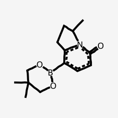 CC1CCc2c(B3OCC(C)(C)CO3)ccc(=O)n21